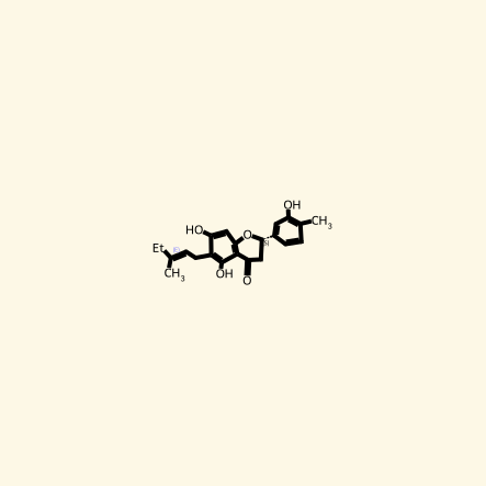 CC/C(C)=C/Cc1c(O)cc2c(c1O)C(=O)C[C@@H](c1ccc(C)c(O)c1)O2